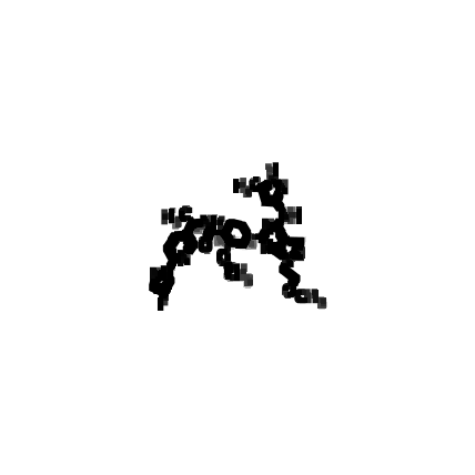 COCCn1ncc2c(Nc3cc(C)[nH]n3)nc([C@H]3CC[C@H](C(=O)N[C@@H](C)c4ccc(-n5cc(F)cn5)nc4)[C@@H](OC)C3)nc21